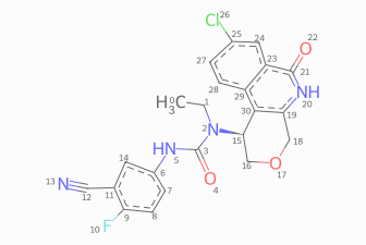 CCN(C(=O)Nc1ccc(F)c(C#N)c1)[C@@H]1COCc2[nH]c(=O)c3cc(Cl)ccc3c21